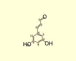 O=[C]C=Cc1cc(O)cc(O)c1